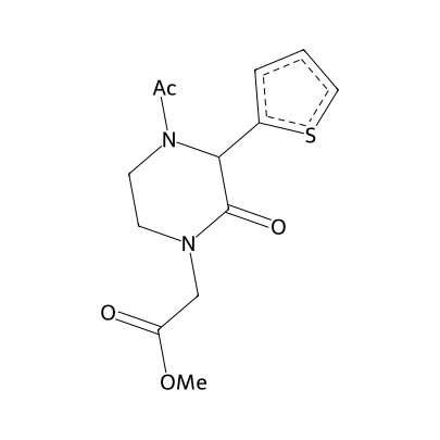 COC(=O)CN1CCN(C(C)=O)C(c2cccs2)C1=O